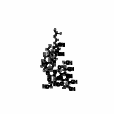 CC(C)=CCC[C@](C)(O)[C@H]1CC[C@]2(C)[C@@H]1[C@H](O)C[C@@H]1[C@@]3(C)CC[C@H](O[C@@H]4O[C@H](CO)[C@@H](O)[C@H](O)[C@H]4O[C@@H]4O[C@H](CO)[C@@H](O)[C@H](O)[C@H]4O[C@@H]4OC[C@@H](O)[C@H](O)[C@H]4O)C(C)(C)[C@@H]3CC[C@]12C